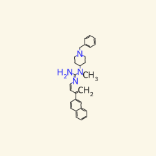 C=C(/C=C\N=C(/N)N(C)C1CCN(Cc2ccccc2)CC1)c1ccc2ccccc2c1